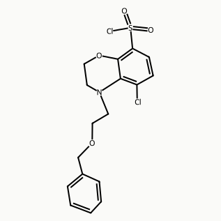 O=S(=O)(Cl)c1ccc(Cl)c2c1OCCN2CCOCc1ccccc1